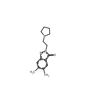 Cc1cc2sn(CCN3CCCC3)c(=O)c2cc1C